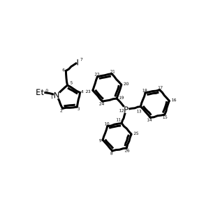 CCn1cccc1CI.c1ccc(P(c2ccccc2)c2ccccc2)cc1